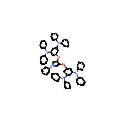 c1ccc(N(c2ccccc2)c2cc(Oc3cn(-c4ccccc4)cc3Oc3cc(N(c4ccccc4)c4ccccc4)cc(N(c4ccccc4)c4ccccc4)c3)cc(N(c3ccccc3)c3ccccc3)c2)cc1